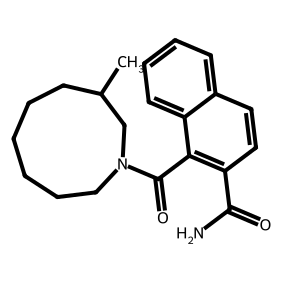 CC1CCCCCCN(C(=O)c2c(C(N)=O)ccc3ccccc23)C1